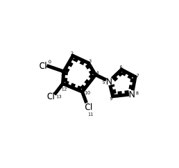 Clc1ccc(-n2[c]cnc2)c(Cl)c1Cl